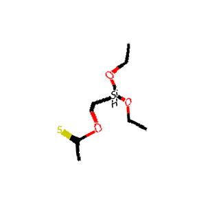 CCO[SiH](COC(C)=S)OCC